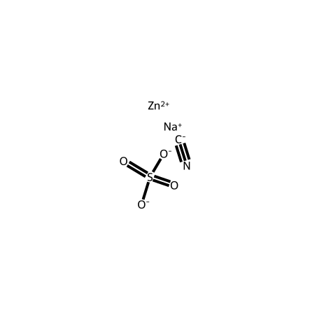 O=S(=O)([O-])[O-].[C-]#N.[Na+].[Zn+2]